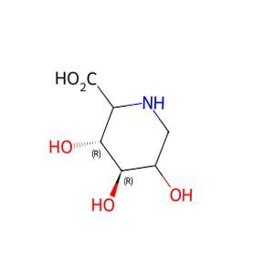 O=C(O)C1NCC(O)[C@@H](O)[C@@H]1O